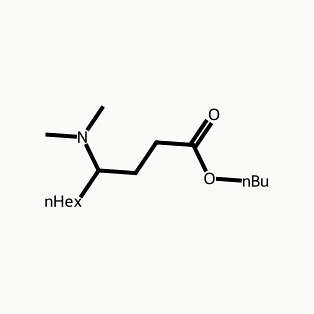 CCCCCCC(CCC(=O)OCCCC)N(C)C